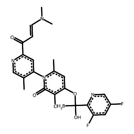 BC(O)(Oc1cc(C)n(-c2cc(C(=O)/C=C/N(C)C)ncc2C)c(=O)c1Cl)c1ncc(F)cc1F